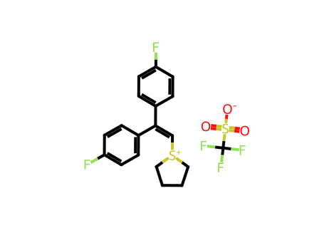 Fc1ccc(C(=C[S+]2CCCC2)c2ccc(F)cc2)cc1.O=S(=O)([O-])C(F)(F)F